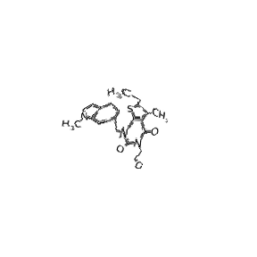 CCc1sc2c(c1C)c(=O)n(CC=O)c(=O)n2Cc1ccc2ccn(C)c2c1